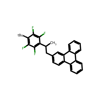 CC(Cc1ccc2c3ccccc3c3ccccc3c2c1)c1c(F)c(F)c(C(C)(C)C)c(F)c1F